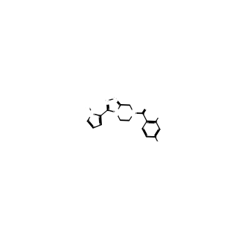 Cn1cccc1-c1nnc2n1CCN(C(=O)c1ccc(F)cc1Cl)C2